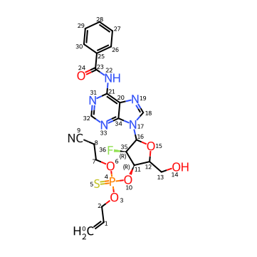 C=CCOP(=S)(OCCC#N)O[C@@H]1C(CO)OC(n2cnc3c(NC(=O)c4ccccc4)ncnc32)[C@@H]1F